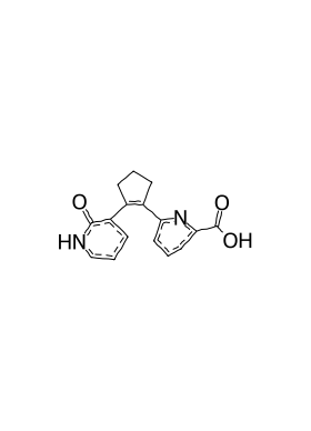 O=C(O)c1cccc(C2=C(c3ccc[nH]c3=O)CCC2)n1